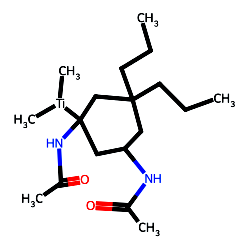 CCCC1(CCC)CC(NC(C)=O)C[C](NC(C)=O)([Ti]([CH3])[CH3])C1